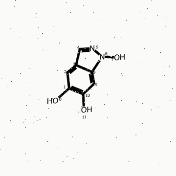 Oc1cc2cnn(O)c2cc1O